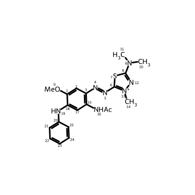 COc1cc(N=Nc2sc(N(C)C)n[n+]2C)c(NC(C)=O)cc1Nc1ccccc1